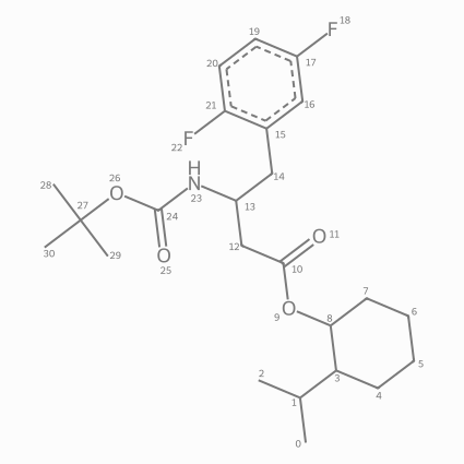 CC(C)C1CCCCC1OC(=O)CC(Cc1cc(F)ccc1F)NC(=O)OC(C)(C)C